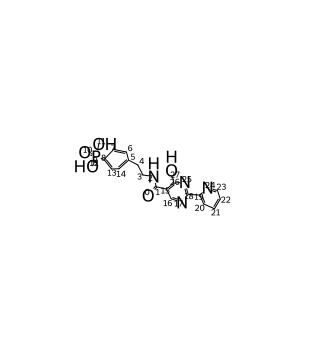 O=C(NCCc1ccc(P(=O)(O)O)cc1)c1cnc(-c2ccccn2)nc1O